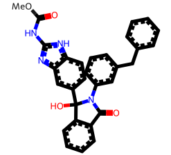 COC(=O)Nc1nc2cc(C3(O)c4ccccc4C(=O)N3c3cccc(Cc4ccccc4)c3)ccc2[nH]1